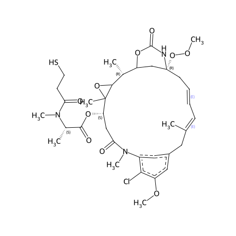 COO[C@]12C/C=C/C=C(\C)Cc3cc(OC)c(Cl)c(c3)N(C)C(=O)C[C@H](OC(=O)[C@H](C)N(C)C(=O)CCS)C3(C)OC3[C@H](C)C(C1)OC(=O)N2